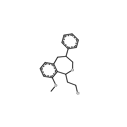 COc1cccc2c1C(CCCl)OCC(c1ccccc1)C2